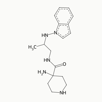 CC(CNC(=O)C1(N)CCNCC1)Nn1ccc2ccccc21